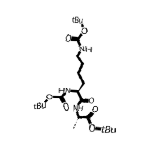 C[C@H](NC(=O)[C@H](CCCCNC(=O)OC(C)(C)C)NC(=O)OC(C)(C)C)C(=O)OC(C)(C)C